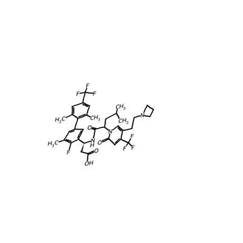 Cc1cc(-c2c(C)cc(C(F)(F)F)cc2C)cc([C@H](CC(=O)O)NC(=O)C(CC(C)C)n2cc(CCN3CCC3)c(C(F)(F)F)cc2=O)c1F